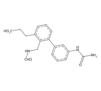 NC(=O)Nc1cccc(-c2cccc(CCC(=O)O)c2CNC=O)c1